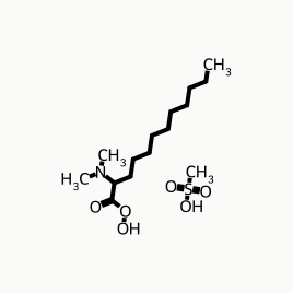 CCCCCCCCCCC(C(=O)OO)N(C)C.CS(=O)(=O)O